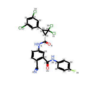 N#Cc1ccc(NC(=O)[C@@H]2[C@@H](c3cc(Cl)cc(Cl)c3)C2(Cl)Cl)cc1C(=O)Nc1ccc(F)cc1